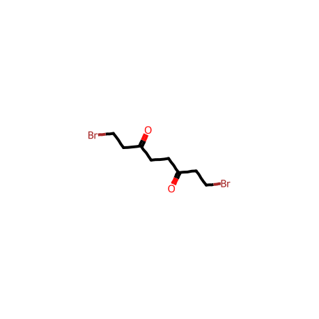 O=C(CCBr)CCC(=O)CCBr